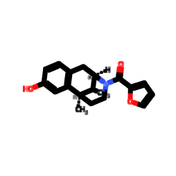 CC1[C@H]2Cc3ccc(O)cc3[C@]1(C)CCN2C(=O)c1ccco1